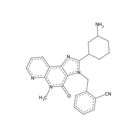 Cn1c(=O)c2c(nc(C3CCCC(N)C3)n2Cc2ccccc2C#N)c2cccnc21